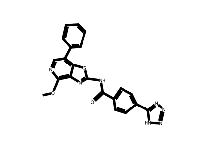 COc1ncc(-c2ccccc2)c2sc(NC(=O)c3ccc(-c4nnn[nH]4)cc3)nc12